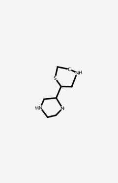 C1CNCC(C2CNCCS2)[N]1